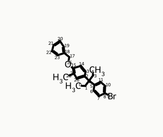 CCC(CC)(c1ccc(Br)cc1)c1ccc(OCc2ccccc2)c(C)c1